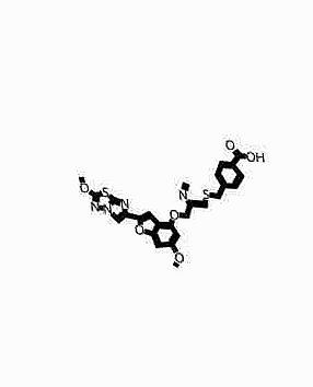 C=N/C(=C\SCc1ccc(C(=O)O)cc1)COc1cc(OC)cc2oc(-c3cn4nc(OC)sc4n3)cc12